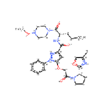 CCOC(=O)ON1CCN(C(=O)[C@H](CCC(=O)O)NC(=O)c2cc(OCC(=O)N3CCC[C@H]3c3nc(C)co3)n(-c3ccccc3)n2)CC1